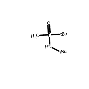 CC(C)(C)NP(C)(=O)C(C)(C)C